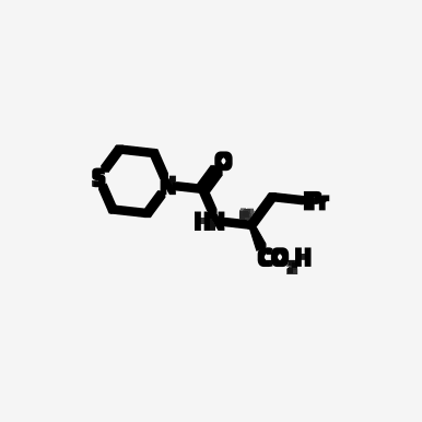 CC(C)C[C@H](NC(=O)N1CCSCC1)C(=O)O